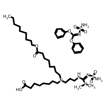 CCCCCCCCCOC(=O)CCCCCCCN(CCCCCCCC(=O)O)CCCN/C(=N/S(N)(=O)=O)N(C)C.NS(=O)(=O)N=C(Oc1ccccc1)Oc1ccccc1